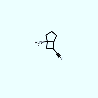 N#CC1CC2(N)CCCC12